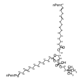 CCCCC/C=C/C/C=C/CCCCCCCCCC(=O)OC[C@H](COP(=O)(O)OCC[N+](C)(C)C)OC(=O)CCCCCCCCC/C=C/C/C=C/CCCCC